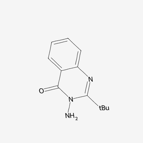 CC(C)(C)c1nc2ccccc2c(=O)n1N